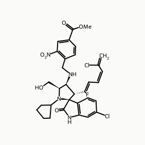 C=C(Cl)/C=C\C=C(/F)[C@H]1[C@H](NCc2ccc(C(=O)OC)cc2[N+](=O)[O-])[C@H](CO)N(C2CCCC2)[C@@]12C(=O)Nc1cc(Cl)ccc12